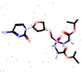 CC(C)OC(=O)[C@H](C)NP(=O)(CO[C@H]1CO[C@@H](n2ccc(N)nc2=O)C1)N[C@@H](C)C(=O)OC(C)C